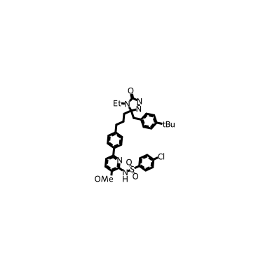 CCN1C(=O)N=NC1(CCCc1ccc(-c2ccc(OC)c(NS(=O)(=O)c3ccc(Cl)cc3)n2)cc1)Cc1ccc(C(C)(C)C)cc1